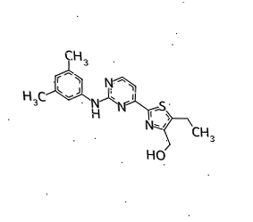 CCc1sc(-c2ccnc(Nc3cc(C)cc(C)c3)n2)nc1CO